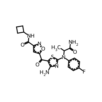 CC(C(N)=O)N(c1ccc(F)cc1)c1nc(N)c(C(=O)c2cc(C(=O)NC3CCC3)no2)s1